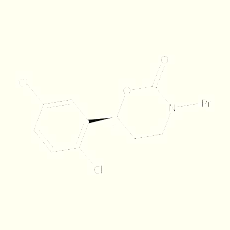 CC(C)N1CC[C@@H](c2cc(Cl)ccc2Cl)OC1=O